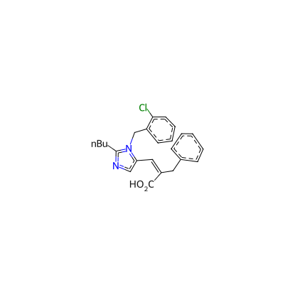 CCCCc1ncc(C=C(Cc2ccccc2)C(=O)O)n1Cc1ccccc1Cl